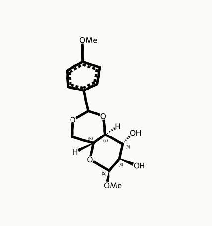 COc1ccc(C2OC[C@H]3O[C@H](OC)[C@H](O)[C@@H](O)[C@@H]3O2)cc1